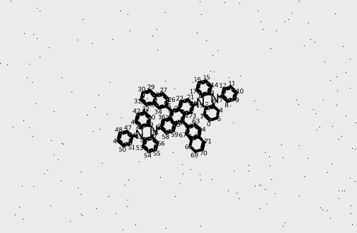 C1=CC2=C(CC1)N(c1ccccc1)c1ccccc1N2c1ccc2c(-c3ccc4ccccc4c3)c3cc(N4c5ccccc5N(c5ccccc5)c5ccccc54)ccc3c(-c3ccc4c(c3)CCC=C4)c2c1